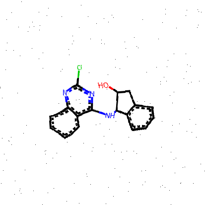 OC1Cc2ccccc2C1Nc1nc(Cl)nc2ccccc12